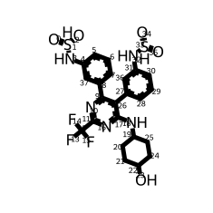 O=[SH](=O)Nc1cccc(-c2nc(C(F)(F)F)nc(NC3CCC(O)CC3)c2-c2cccc(N[SH](=O)=O)c2)c1